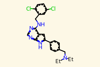 CCN(CC)Cc1ccc(-c2cc3c(NCc4cc(Cl)ccc4Cl)ncnc3[nH]2)cc1